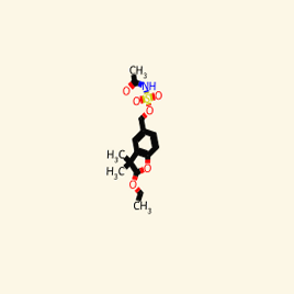 CCOC1Oc2ccc(COS(=O)(=O)NC(C)=O)cc2C1(C)C